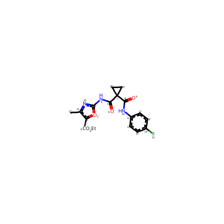 CCOC(=O)c1oc(NC(=O)C2(C(=O)Nc3ccc(F)cc3)CC2)nc1C